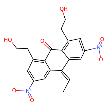 CC=C1c2cc([N+](=O)[O-])cc(CCO)c2C(=O)c2c(CCO)cc([N+](=O)[O-])cc21